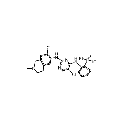 CCP(=O)(CC)c1ccccc1Nc1nc(Nc2cc3c(cc2Cl)CN(C)CC3)ncc1Cl